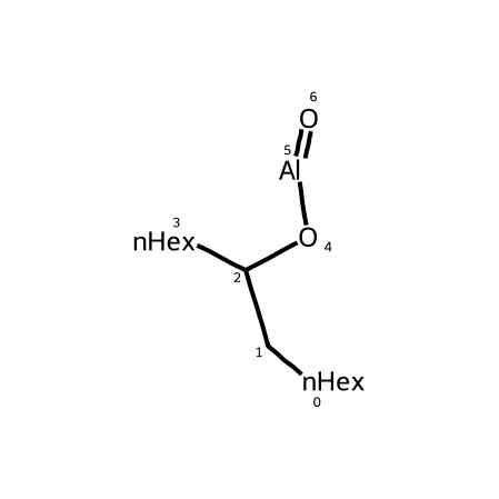 CCCCCCCC(CCCCCC)[O][Al]=[O]